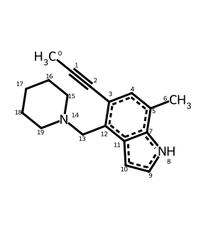 CC#Cc1cc(C)c2[nH]ccc2c1CN1CCCCC1